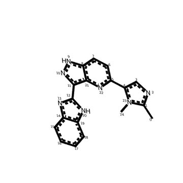 Cc1ncc(-c2ccc3[nH]nc(-c4nc5ccccc5[nH]4)c3n2)n1C